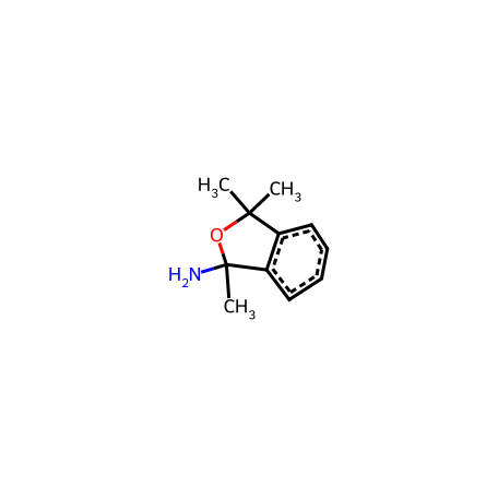 CC1(C)OC(C)(N)c2ccccc21